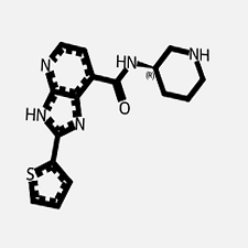 O=C(N[C@@H]1CCCNC1)c1ccnc2[nH]c(-c3cccs3)nc12